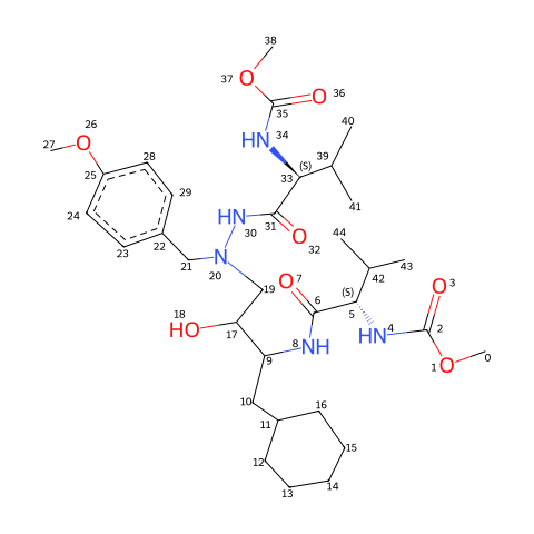 COC(=O)N[C@H](C(=O)NC(CC1CCCCC1)C(O)CN(Cc1ccc(OC)cc1)NC(=O)[C@@H](NC(=O)OC)C(C)C)C(C)C